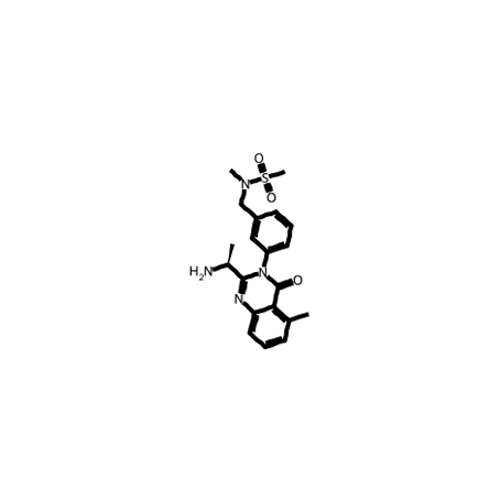 Cc1cccc2nc([C@H](C)N)n(-c3cccc(CN(C)S(C)(=O)=O)c3)c(=O)c12